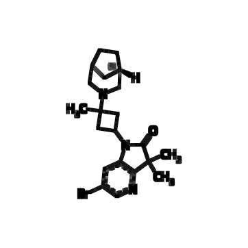 CC1(C)C(=O)N(C2CC(C)(N3CC4CC[C@@H](C4)C3)C2)c2cc(Br)cnc21